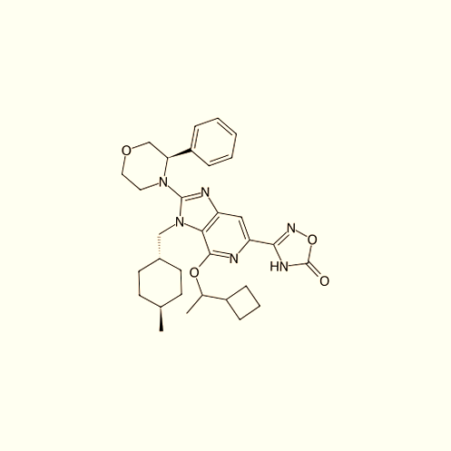 CC(Oc1nc(-c2noc(=O)[nH]2)cc2nc(N3CCOC[C@H]3c3ccccc3)n(C[C@H]3CC[C@H](C)CC3)c12)C1CCC1